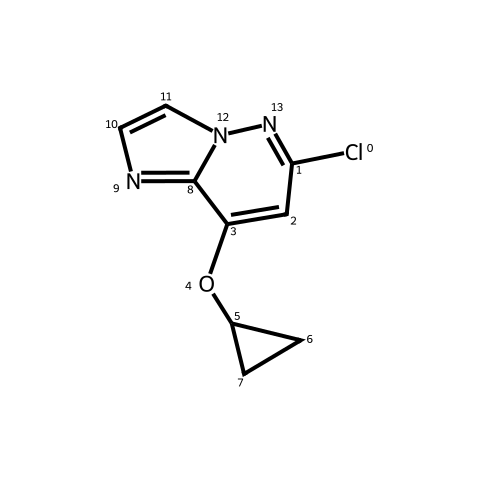 Clc1cc(OC2CC2)c2nccn2n1